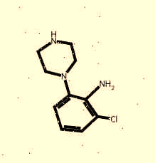 Nc1c(Cl)cccc1N1CCNCC1